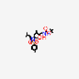 Cc1ccc(S(=O)(=O)N(CCC(C)C)[C@H](CO)CC(C)CCNC(=O)OC(C)(C)C)cc1